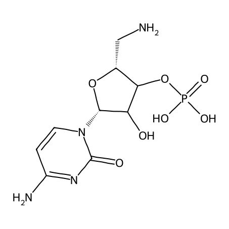 NC[C@H]1O[C@@H](n2ccc(N)nc2=O)C(O)C1OP(=O)(O)O